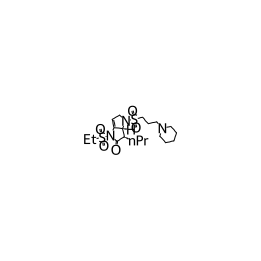 CCC[C@H]1C(=O)N(S(=O)(=O)CC)C2=CCN(S(=O)(=O)CCCN3CCCCC3)[C@@H]21